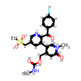 CCS(=O)(=O)Cc1cnc(C(=O)c2ccc(F)cc2)c(-c2cn(C)c(=O)cc2COC(=O)NC(C)(C)C)c1